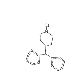 CCN1CCC(C(c2ccccc2)c2ccccc2)CC1